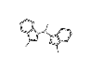 Cc1cn(P(Cl)n2cc(C)c3ccccc32)c2ccccc12